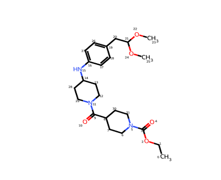 CCOC(=O)N1CCC(C(=O)N2CCC(Nc3ccc(CC(OC)OC)cc3)CC2)CC1